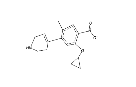 Cc1cc([N+](=O)[O-])c(OC2CC2)cc1C1=CCNCC1